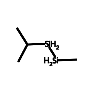 C[SiH2][SiH2]C(C)C